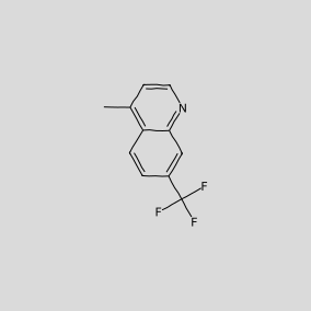 Cc1ccnc2cc(C(F)(F)F)ccc12